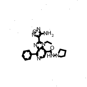 CCn1c(-c2nonc2N)nc2c(-c3ccccc3)ncc(C(=O)NN3CCCC3)c21